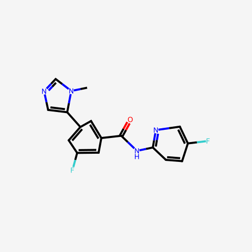 Cn1cncc1-c1cc(F)cc(C(=O)Nc2ccc(F)cn2)c1